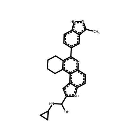 Cc1n[nH]c2ccc(-c3nc4ccc5[nH]c(C(O)NC6CC6)cc5c4c4c3CCCC4)cc12